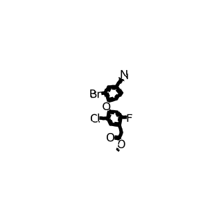 COC(=O)Cc1cc(Cl)c(Oc2ccc(C#N)cc2Br)cc1F